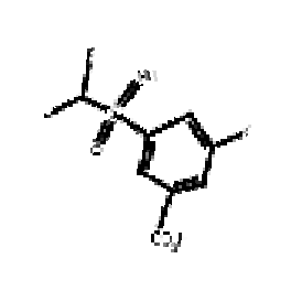 N=S(=O)(c1cc(Cl)cc(C(=O)O)c1)C(F)F